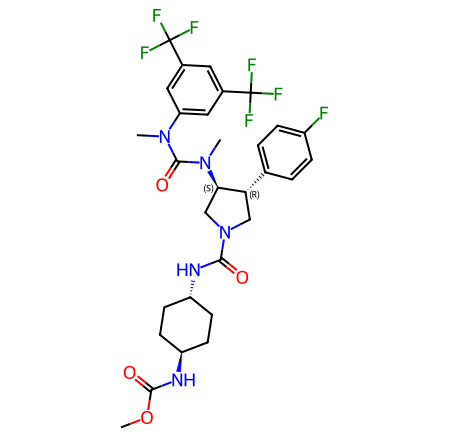 COC(=O)N[C@H]1CC[C@H](NC(=O)N2C[C@@H](N(C)C(=O)N(C)c3cc(C(F)(F)F)cc(C(F)(F)F)c3)[C@H](c3ccc(F)cc3)C2)CC1